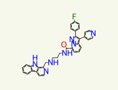 O=C(NCCCNCc1nccc2c1[nH]c1ccccc12)c1cccc2c(-c3ccncc3)c(-c3ccc(F)cc3)nn12